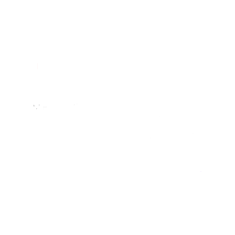 COC(=O)C(CO)c1cccc(-c2ccc(I)cc2)c1